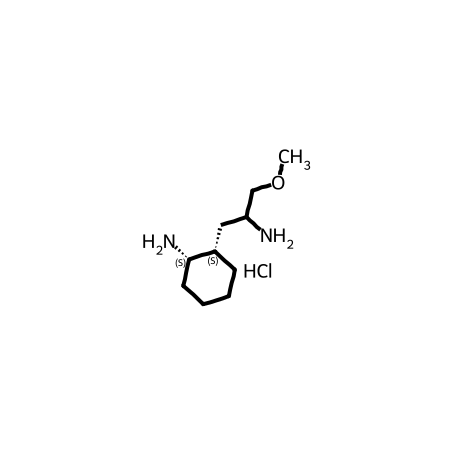 COCC(N)C[C@@H]1CCCC[C@@H]1N.Cl